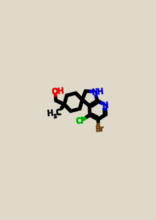 CC1(CO)CCC2(CC1)CNc1ncc(Br)c(Cl)c12